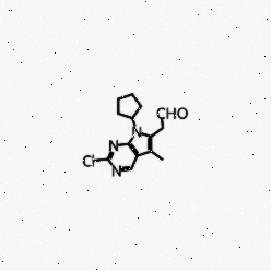 Cc1c(CC=O)n(C2CCCC2)c2nc(Cl)ncc12